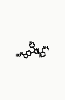 NCc1cccnc1-n1cc(-c2ccc3c(c2)CCC3=NO)c(-c2ccncc2)n1